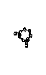 c1ccc(-n2c3ccc4cc3c3cc(ccc32)c2ccc3c(n2)c2cc(ccc2n3-c2ccccc2)c2cccc(c2)c2cccc(c2)c2cccc4c2)cc1